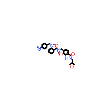 CN(C)c1ccc(CN(C)c2ccccc2C(=O)N(C=O)Cc2ccc(C(=O)NCC3COC3)cc2)cc1